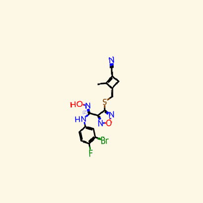 CC1=C(C#N)CC1CSc1nonc1/C(=N/O)Nc1ccc(F)c(Br)c1